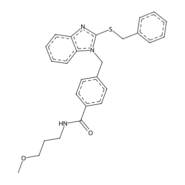 COCCCNC(=O)c1ccc(Cn2c(SCc3ccccc3)nc3ccccc32)cc1